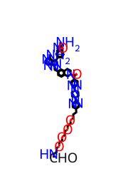 Nc1nc2cc(-c3nn(Cc4ccc5c(c4)CCN(C(=O)c4cnc(N6CCN(c7ncc(CCCOCCOCCOCCOCCNC=O)cn7)CC6)nc4)C5)c4ncnc(N)c34)ccc2o1